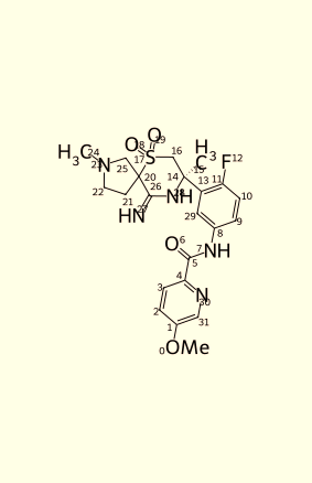 COc1ccc(C(=O)Nc2ccc(F)c([C@]3(C)CS(=O)(=O)C4(CCN(C)C4)C(=N)N3)c2)nc1